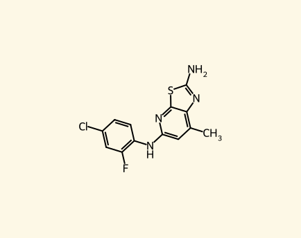 Cc1cc(Nc2ccc(Cl)cc2F)nc2sc(N)nc12